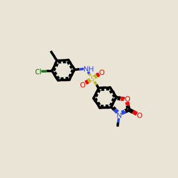 Cc1cc(NS(=O)(=O)c2ccc3c(c2)oc(=O)n3C)ccc1Cl